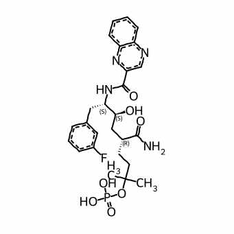 CC(C)(CC[C@H](C[C@H](O)[C@H](Cc1cccc(F)c1)NC(=O)c1cnc2ccccc2n1)C(N)=O)OP(=O)(O)O